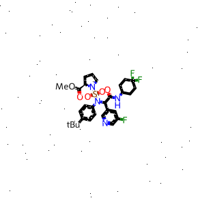 COC(=O)[C@H]1CCCN1S(=O)(=O)N(c1ccc(C(C)(C)C)cc1)C(C(=O)NC1CCC(F)(F)CC1)c1cncc(F)c1